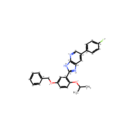 CC(C)Oc1ccc(OCc2ccccc2)cc1-c1nc2cc(-c3ccc(F)cc3)cnc2[nH]1